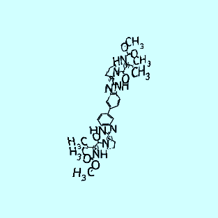 COC(=O)N[C@H](C(=O)N1CCC[C@@H]1c1nc2cc(-c3ccc4[nH]c([C@@H]5CCCN5C(=O)[C@@H](NC(=O)OC)C(C)C)nc4c3)ccc2[nH]1)C(C)C